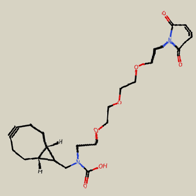 O=C(O)N(CCOCCOCCOCCN1C(=O)C=CC1=O)CC1[C@H]2CCC#CCC[C@@H]12